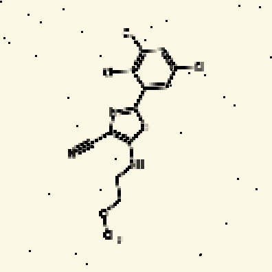 COCCNc1oc(-c2cc(Cl)cc(Cl)c2Cl)nc1C#N